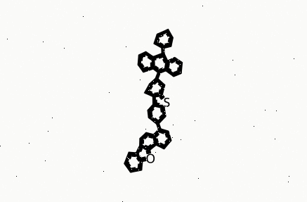 c1ccc(-c2c3ccccc3c(-c3ccc4c(c3)sc3cc(-c5cccc6c5ccc5c7ccccc7oc65)ccc34)c3ccccc23)cc1